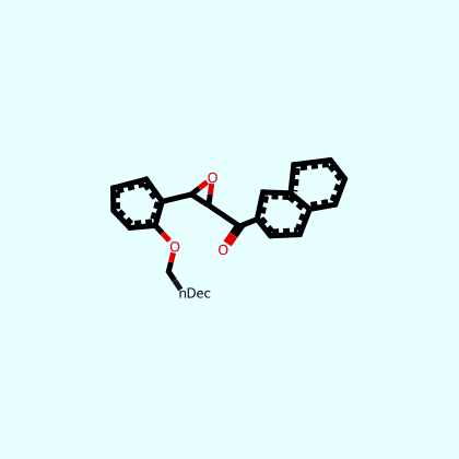 CCCCCCCCCCCOc1ccccc1C1OC1C(=O)c1ccc2ccccc2c1